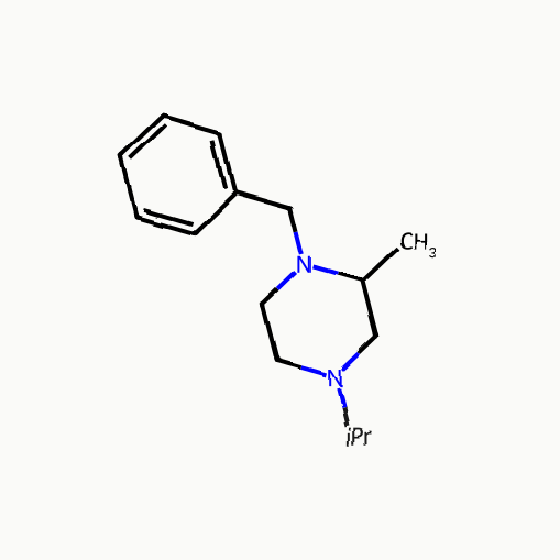 CC(C)N1CCN(Cc2ccccc2)C(C)C1